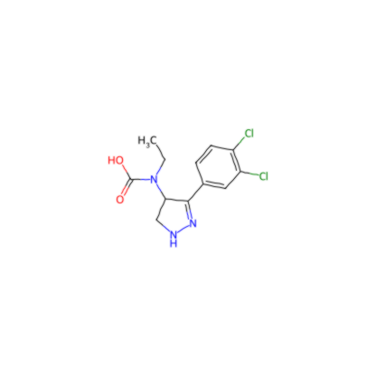 CCN(C(=O)O)C1CNN=C1c1ccc(Cl)c(Cl)c1